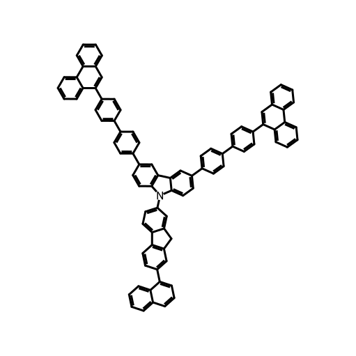 c1ccc2c(-c3ccc4c(c3)Cc3cc(-n5c6ccc(-c7ccc(-c8ccc(-c9cc%10ccccc%10c%10ccccc9%10)cc8)cc7)cc6c6cc(-c7ccc(-c8ccc(-c9cc%10ccccc%10c%10ccccc9%10)cc8)cc7)ccc65)ccc3-4)cccc2c1